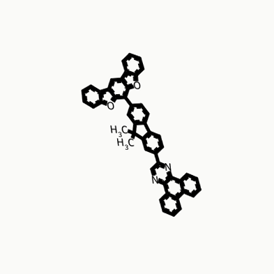 CC1(C)c2cc(-c3cnc4c5ccccc5c5ccccc5c4n3)ccc2-c2ccc(-c3c4oc5ccccc5c4cc4c3oc3ccccc34)cc21